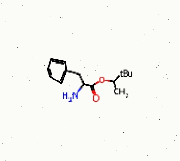 CC(OC(=O)C(N)Cc1ccccc1)C(C)(C)C